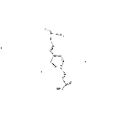 COC(=O)/C=C/c1ccc(C=CCN(C)C)cc1